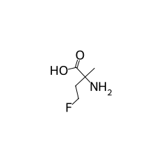 CC(N)(CCF)C(=O)O